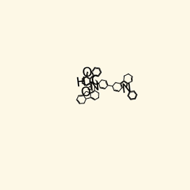 CC1(N(C2=C3OC4=CC=CCC4C3=CCC2)c2cccc3oc4ccccc4c23)C=CC(C2C=Cc3c(c4c(n3-c3ccccc3)C=CCC4)C2)=CC1